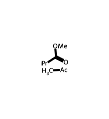 CC(C)=O.COC(=O)C(C)C